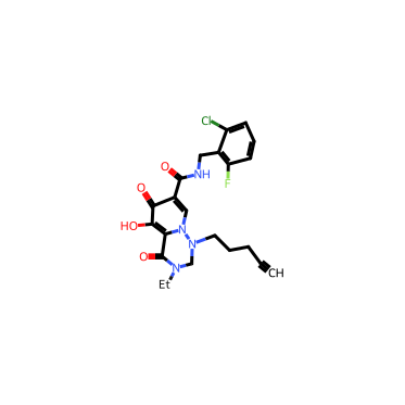 C#CCCCN1CN(CC)C(=O)c2c(O)c(=O)c(C(=O)NCc3c(F)cccc3Cl)cn21